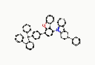 c1ccc(-c2ccc3c(c2)c2ccccc2n3-c2ccc(-c3ccc(C4(c5ccccc5)c5ccccc5-c5ccccc54)cc3)c3oc4ccccc4c23)cc1